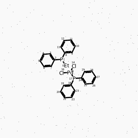 CCP(c1ccccc1)c1ccccc1.[Cl][Pd]([Cl])[P](c1ccccc1)c1ccccc1